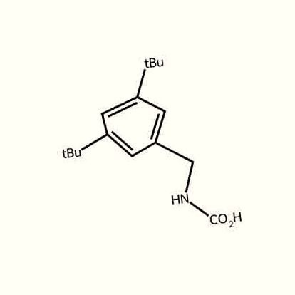 CC(C)(C)c1cc(CNC(=O)O)cc(C(C)(C)C)c1